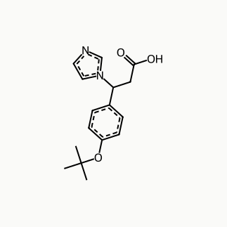 CC(C)(C)Oc1ccc(C(CC(=O)O)n2ccnc2)cc1